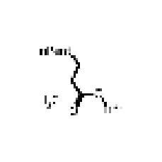 CCCCCCCC(=O)OCCC.[CH3]